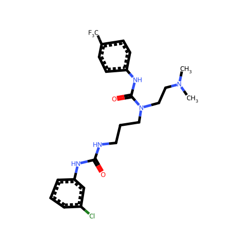 CN(C)CCN(CCCNC(=O)Nc1cccc(Cl)c1)C(=O)Nc1ccc(C(F)(F)F)cc1